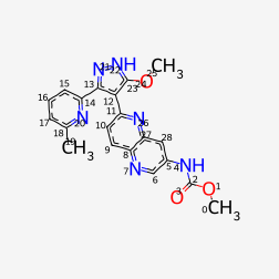 COC(=O)Nc1cnc2ccc(-c3c(-c4cccc(C)n4)n[nH]c3OC)nc2c1